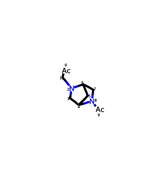 CC(=O)CN1CC2CC1CN2C(C)=O